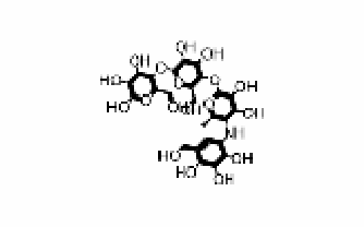 C[C@H]1O[C@H](O[C@H]2[C@H](O)[C@H](O)[C@@H](O[C@H]3[C@H](O)[C@@H](O)[C@H](O)O[C@@H]3CO)O[C@@H]2CO)[C@@H](O)[C@@H](O)[C@@H]1N[C@H]1C=C(CO)[C@@H](O)[C@@H](O)[C@H]1O